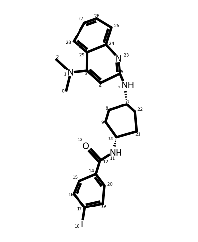 CN(C)c1cc(N[C@H]2CC[C@@H](NC(=O)c3ccc(I)cc3)CC2)nc2ccccc12